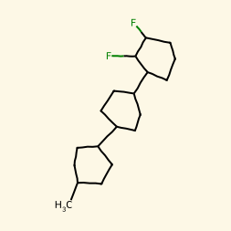 CC1CCC(C2CCC(C3CCCC(F)C3F)CC2)CC1